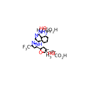 CC(C)C.CC(C)C.FC(F)(F)c1cc(-c2ccco2)[nH]n1.Nc1nccc2ccccc12.O=C(O)O.O=C(O)O